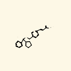 O=C(C=Cc1ccc(CN[C@](C(=O)O)(c2ccccc2)C2CCCC2)cn1)NO